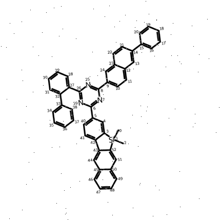 C[Si]1(C)c2cc(-c3nc(-c4ccc5cc(-c6ccccc6)ccc5c4)nc(-c4ccccc4-c4ccccc4)n3)ccc2-c2cc3ccccc3cc21